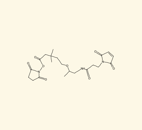 CC(CNC(=O)CCN1C(=O)C=CC1=O)OCCC(C)(C)CC(=O)ON1C(=O)CCC1=O